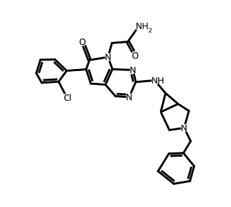 NC(=O)Cn1c(=O)c(-c2ccccc2Cl)cc2cnc(NC3C4CN(Cc5ccccc5)CC43)nc21